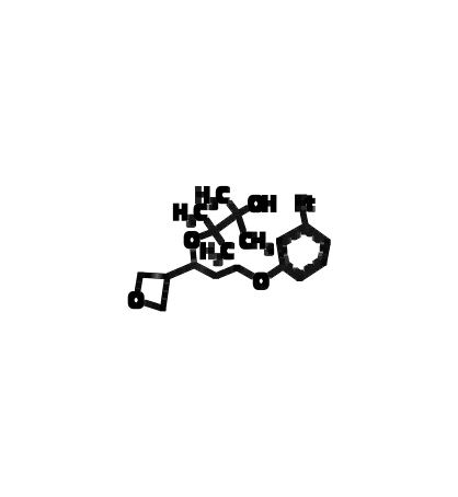 CCc1cccc(OCCC(OC(C)(C)C(C)(C)O)C2COC2)c1